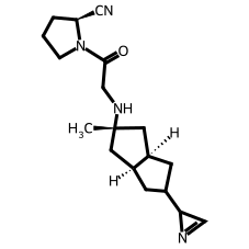 C[C@@]1(NCC(=O)N2CCC[C@H]2C#N)C[C@H]2CC(C3C=N3)C[C@H]2C1